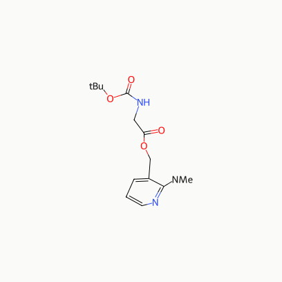 CNc1ncccc1COC(=O)CNC(=O)OC(C)(C)C